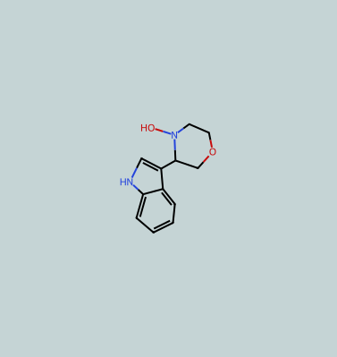 ON1CCOCC1c1c[nH]c2ccccc12